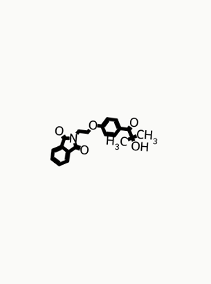 CC(C)(O)C(=O)c1ccc(OCCN2C(=O)c3ccccc3C2=O)cc1